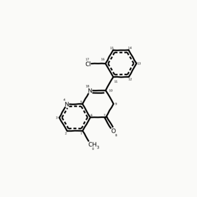 Cc1ccnc2c1C(=O)CC(c1ccccc1Cl)=N2